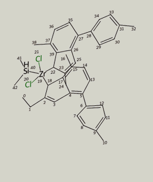 CCC1=Cc2c(-c3ccc(C)cc3)ccc(C)c2[CH]1[Zr]([Cl])([Cl])([CH]1C(C)=Cc2c(-c3ccc(C)cc3)ccc(C)c21)[SiH](C)C